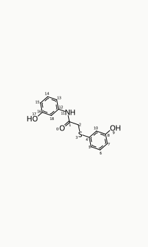 O=C(CSc1cccc(O)c1)Nc1cccc(O)c1